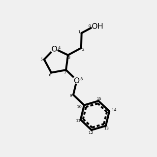 OCCC1OCCC1OCc1ccccc1